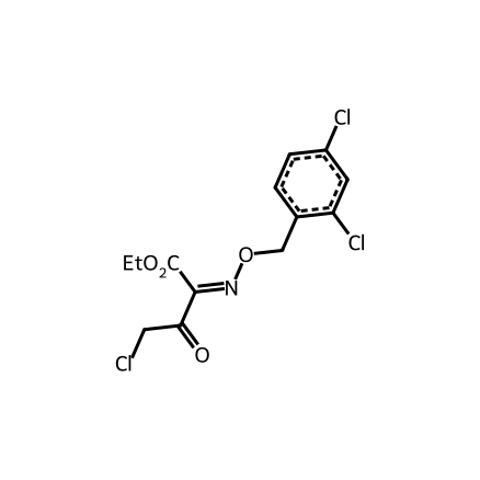 CCOC(=O)/C(=N\OCc1ccc(Cl)cc1Cl)C(=O)CCl